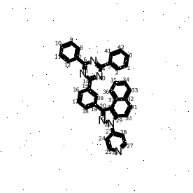 c1ccc(-c2nc(-c3ccccc3)nc(-c3cccc(-c4nn(-c5ccncc5)c5ccc6ccccc6c45)c3)n2)cc1